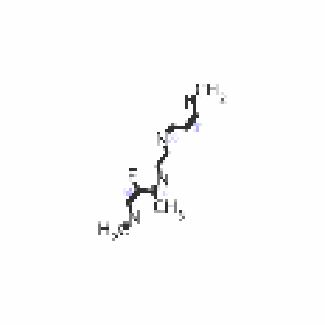 C=N/C=C\C=N/CC/N=C(C)\C(F)=C/N=C